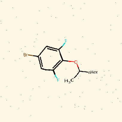 CCCCCCC(C)Oc1c(F)cc(Br)cc1F